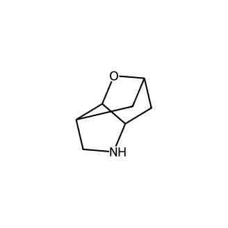 C1NC2CC3CC1C2O3